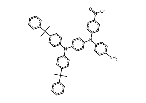 CC(C)(c1ccccc1)c1ccc(N(c2ccc(N(c3ccc(N)cc3)c3ccc([N+](=O)[O-])cc3)cc2)c2ccc(C(C)(C)c3ccccc3)cc2)cc1